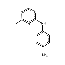 Cc1ncnc(Nc2ccc(N)cc2)n1